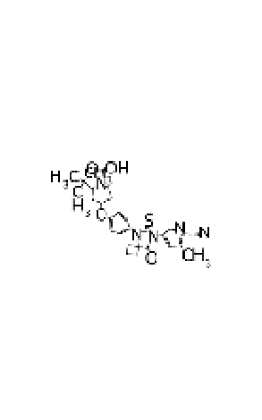 Cc1cc(N2C(=O)C3(CCC3)N(c3ccc(OC4CCN(C(=O)O)C(C(C)(C)C)C4)cc3)C2=S)cnc1C#N